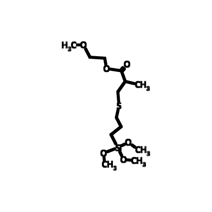 COCCOC(=O)C(C)CSCCC[Si](OC)(OC)OC